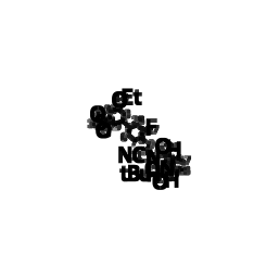 CCOc1cc(-c2ccc(C[C@@H](C#N)NC(=O)[C@@H]3[C@H]4CC[C@H](C4)N3C(=O)OC(C)(C)C)c(F)c2)cc(S(C)(=O)=O)c1